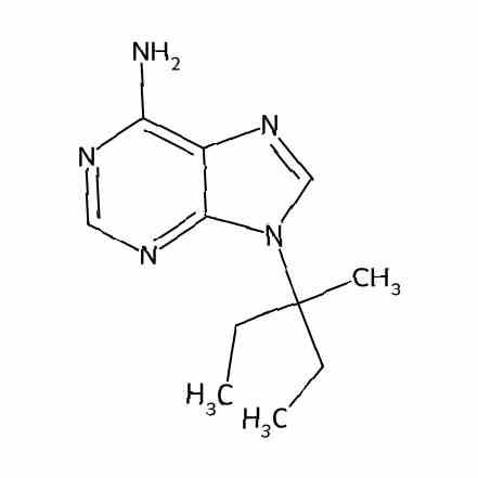 CCC(C)(CC)n1cnc2c(N)ncnc21